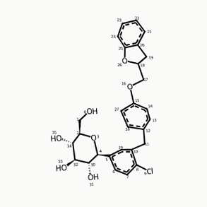 OC[C@H]1O[C@@H](c2ccc(Cl)c(Cc3ccc(OCC4Cc5ccccc5O4)cc3)c2)[C@H](O)[C@@H](O)[C@@H]1O